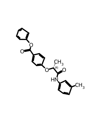 Cc1cccc(NC(=O)[C@@H](C)Oc2ccc(C(=O)Oc3ccccc3)cc2)c1